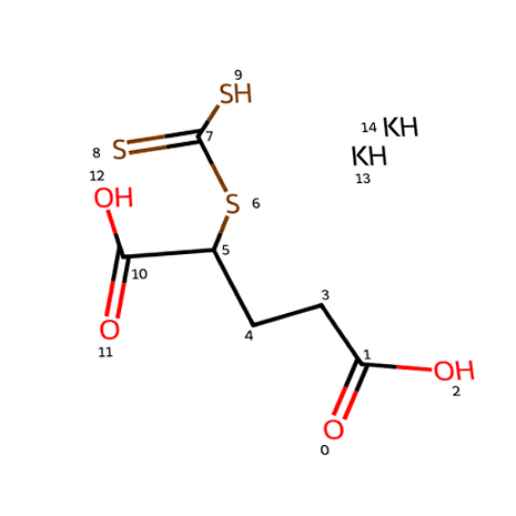 O=C(O)CCC(SC(=S)S)C(=O)O.[KH].[KH]